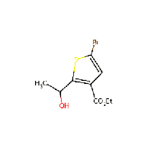 CCOC(=O)c1cc(Br)sc1C(C)O